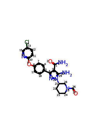 NC(=O)c1c(-c2ccc(Oc3ccc(Cl)cn3)cc2)nn([C@@H]2CCCN(C=O)C2)c1N